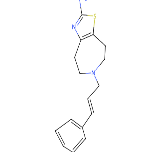 Nc1nc2c(s1)CCN(C/C=C/c1ccccc1)CC2